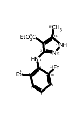 CCOC(=O)c1c(Nc2c(CC)cccc2CC)n[nH]c1C